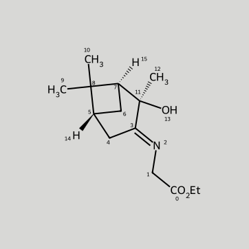 CCOC(=O)CN=C1C[C@H]2C[C@@H](C2(C)C)[C@@]1(C)O